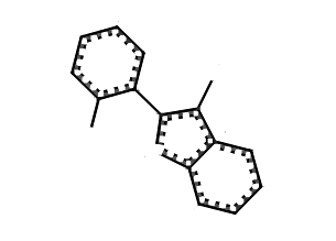 Fc1ccccc1-c1sc2ccccc2c1I